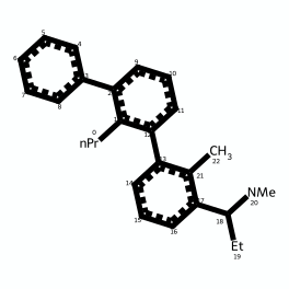 CCCc1c(-c2ccccc2)cccc1-c1cccc(C(CC)NC)c1C